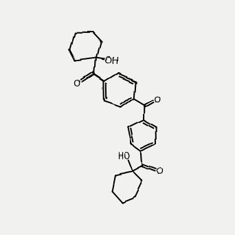 O=C(c1ccc(C(=O)C2(O)CCCCC2)cc1)c1ccc(C(=O)C2(O)CCCCC2)cc1